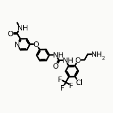 CNC(=O)c1cc(Oc2cccc(NC(=O)Nc3cc(C(F)(F)F)c(Cl)cc3OCCN)c2)ccn1